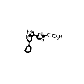 O=C(O)c1nc(-c2c[nH]c3ncc(C4CCCCC4)cc23)cs1